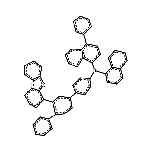 c1ccc(-c2ccc(-c3ccc(N(c4cccc5ccccc45)c4ccc(-c5ccccc5)c5ccccc45)cc3)cc2-c2cccc3c2sc2ccccc23)cc1